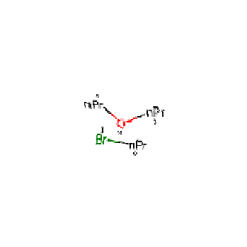 CCCBr.CCCOCCC